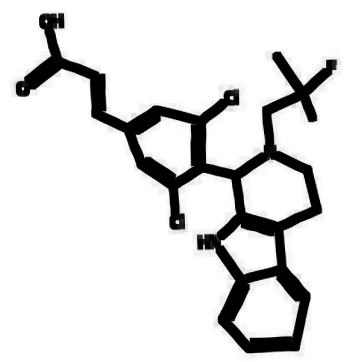 CC(C)(F)CN1CCc2c([nH]c3ccccc23)C1c1c(Cl)cc(/C=C/C(=O)O)cc1Cl